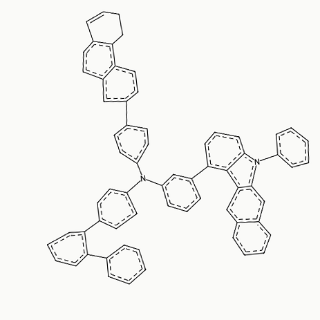 C1=Cc2ccc3cc(-c4ccc(N(c5ccc(-c6ccccc6-c6ccccc6)cc5)c5cccc(-c6cccc7c6c6cc8ccccc8cc6n7-c6ccccc6)c5)cc4)ccc3c2CC1